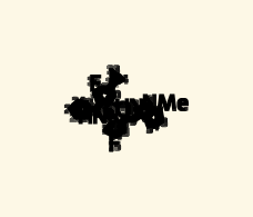 CNc1ccccc1C(=N)CC(=O)N1C[C@H](F)C[C@H]1C(=O)N[C@@H](c1ccccc1)c1ccc(C2CC2)c(F)c1